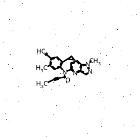 C#Cc1cc(C2CC2)c(N(C(=O)C#CC)c2ccc3c(cnn3C)n2)cc1C